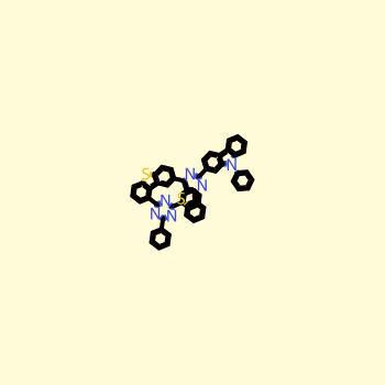 c1ccc(-c2nc(-c3ccccc3)nc(-c3cccc4sc5ccc(-c6nc(-c7ccc8c9ccccc9n(-c9ccccc9)c8c7)nc7c6sc6ccccc67)cc5c34)n2)cc1